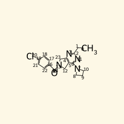 CCc1nc2c(c(N3CCC3)n1)CN(C(=O)c1ccc(Cl)cc1)C2